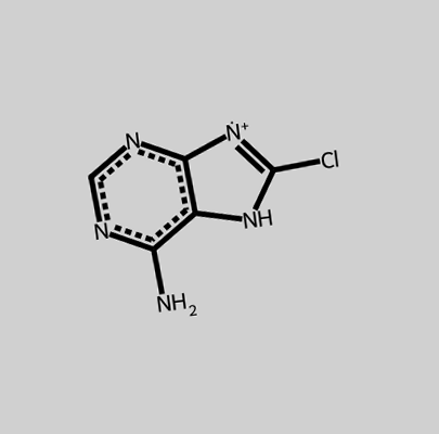 Nc1ncnc2c1NC(Cl)=[N+]2